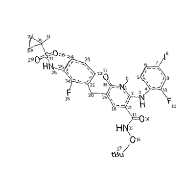 Cn1c(Nc2ccc(I)cc2F)c(C(=O)NOC(C)(C)C)cc(Cc2cccc(NS(=O)(=O)C3(C)CC3)c2F)c1=O